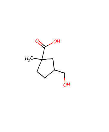 CC1(C(=O)O)CCC(CO)C1